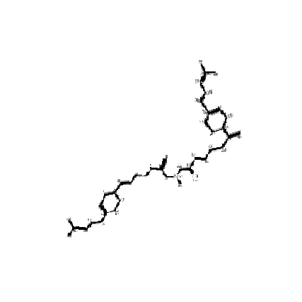 C=C(CCC/C=C/C1CC=C(CCC=C(C)C)CC1)CN(C)CC(=O)CCCCC(=C)C1CC=C(CCC=C(C)C)CC1